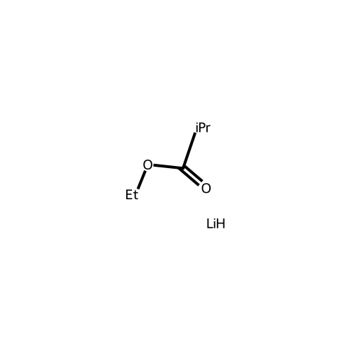 CCOC(=O)C(C)C.[LiH]